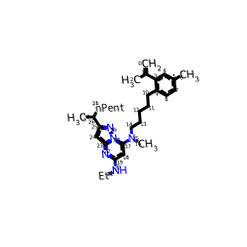 C=C(C)c1cc(C)ccc1CCCCCN(C)c1cc(NCC)nc2cc(C(C)CCCCC)nn12